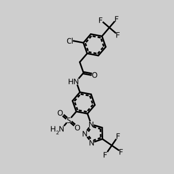 NS(=O)(=O)c1cc(NC(=O)Cc2ccc(C(F)(F)F)cc2Cl)ccc1-n1cc(C(F)(F)F)nn1